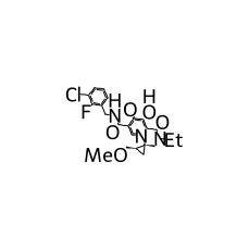 CCN1C[C@]2(C[C@H]2COC)n2cc(C(=O)NCc3cccc(Cl)c3F)c(=O)c(O)c2C1=O